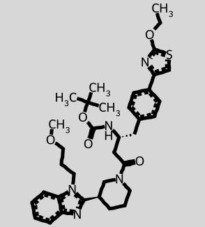 CCOc1nc(-c2ccc(C[C@H](CC(=O)N3CCC[C@@H](c4nc5ccccc5n4CCCOC)C3)NC(=O)OC(C)(C)C)cc2)cs1